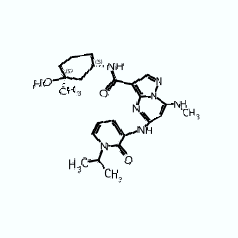 CNc1cc(Nc2cccn(C(C)C)c2=O)nc2c(C(=O)N[C@H]3CCC[C@](C)(O)C3)cnn12